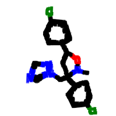 CN1OC(c2ccc(Cl)cc2)CC1(Cn1cncn1)c1ccc(Cl)cc1